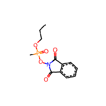 CCCOP(C)(=O)ON1C(=O)c2ccccc2C1=O